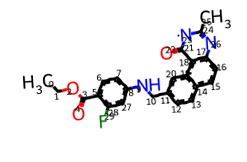 CCOC(=O)c1ccc(NCc2ccc3ccc4c(c3c2)C(=O)[N]C(C)=N4)cc1F